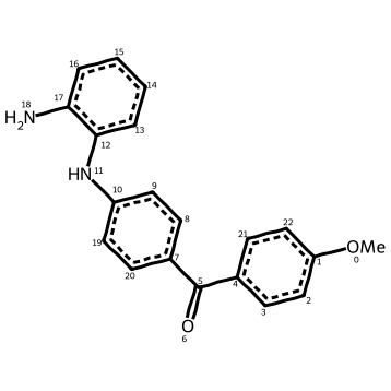 COc1ccc(C(=O)c2ccc(Nc3ccccc3N)cc2)cc1